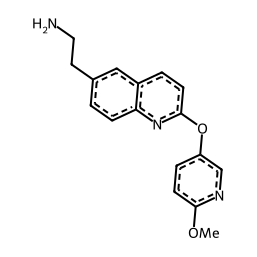 COc1ccc(Oc2ccc3cc(CCN)ccc3n2)cn1